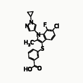 Cc1c(Sc2cccc(C(=O)O)c2)c2ccc(Cl)c(F)c2n1-c1cnn(C2CC2)c1